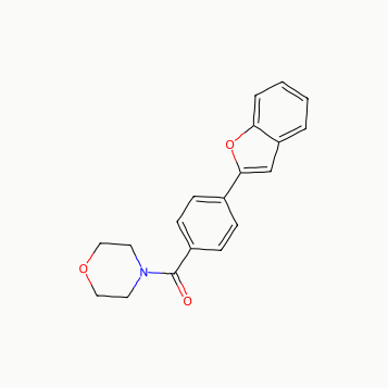 O=C(c1ccc(-c2cc3ccccc3o2)cc1)N1CCOCC1